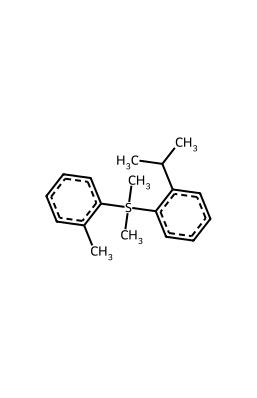 Cc1ccccc1S(C)(C)c1ccccc1C(C)C